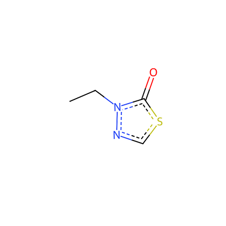 CCn1ncsc1=O